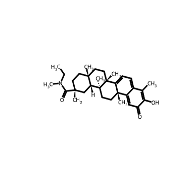 CCN(C)C(=O)[C@]1(C)CC[C@]2(C)CC[C@]3(C)C4=CC=C5C(=CC(=O)C(O)=C5C)[C@]4(C)CC[C@@]3(C)[C@@H]2C1